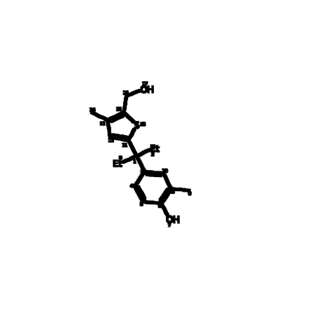 CCC(CC)(c1ccc(O)c(C)c1)c1cc(C)c(CO)s1